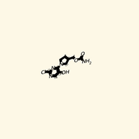 NC(=O)OCC1CCN(c2nc(Cl)ncc2O)C1